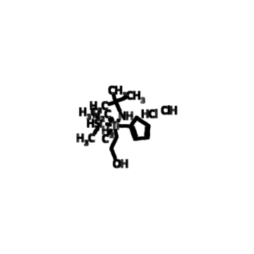 Cl.Cl.[CH2]=[Ti]([CH3])([CH2]CO)([NH]C(C)(C)C)([C]1=CC=CC1)[SiH](C)C